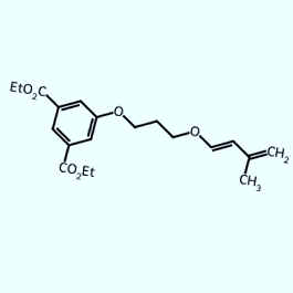 C=C(C)C=COCCCOc1cc(C(=O)OCC)cc(C(=O)OCC)c1